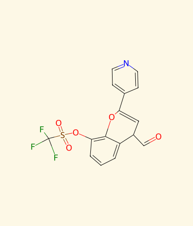 O=CC1C=C(c2ccncc2)Oc2c(OS(=O)(=O)C(F)(F)F)cccc21